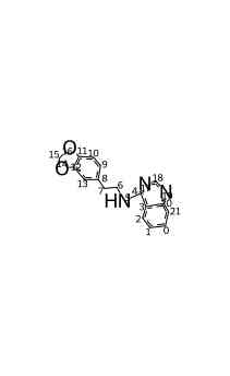 c1ccc2c(NCCc3ccc4c(c3)OCO4)ncnc2c1